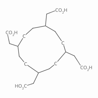 O=C(O)CC1CCC(CC(=O)O)CCC(CC(=O)O)CCC(CC(=O)O)CC1